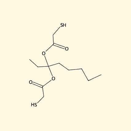 CCCCCC(CC)(OC(=O)CS)OC(=O)CS